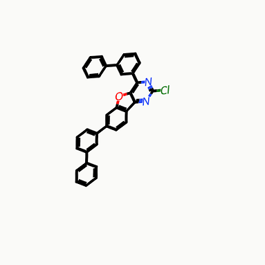 Clc1nc(-c2cccc(-c3ccccc3)c2)c2oc3cc(-c4cccc(-c5ccccc5)c4)ccc3c2n1